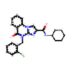 O=C(NC1CCCCC1)c1cn2c3ccccc3c(=O)n(Cc3ccccc3Cl)c2n1